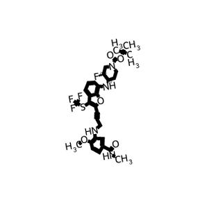 CNC(=O)c1ccc(OC)c(NCC#Cc2oc3c(N[C@@H]4CCN(C(=O)OC(C)(C)C)C[C@@H]4F)cccc3c2SC(F)(F)F)c1